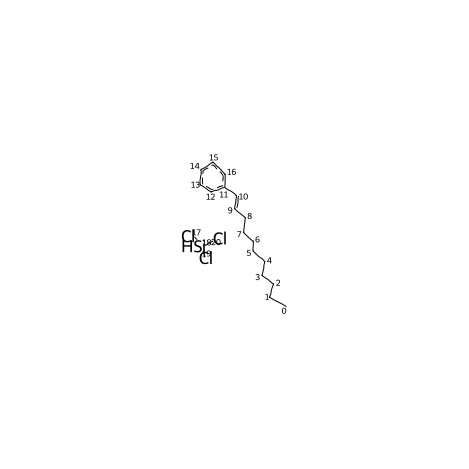 CCCCCCCCCC=Cc1ccccc1.Cl[SiH](Cl)Cl